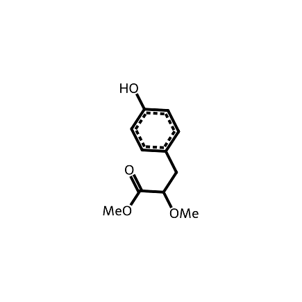 COC(=O)C(Cc1ccc(O)cc1)OC